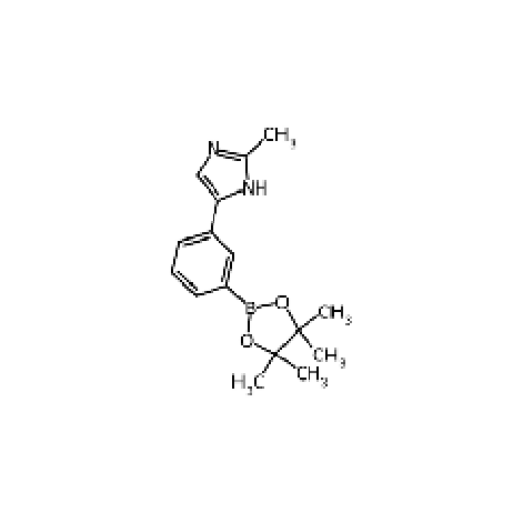 Cc1ncc(-c2cccc(B3OC(C)(C)C(C)(C)O3)c2)[nH]1